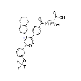 O=C(/C=C(\C(=O)c1ccc(C(=O)NC[C@@H](O)C(=O)O)cc1)c1ccc2c(c1)CCCC2)c1cccc(OC(F)(F)F)c1